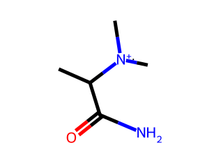 CC(C(N)=O)[N+](C)C